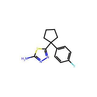 Nc1nnc(C2(c3ccc(F)cc3)CCCC2)s1